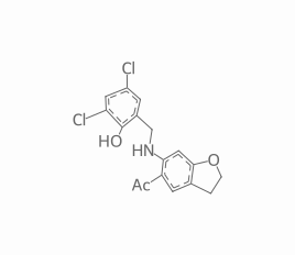 CC(=O)c1cc2c(cc1NCc1cc(Cl)cc(Cl)c1O)OCC2